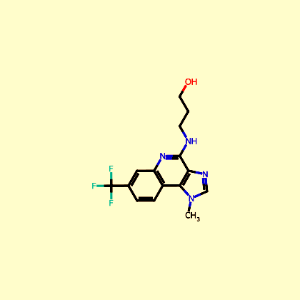 Cn1cnc2c(NCCCO)nc3cc(C(F)(F)F)ccc3c21